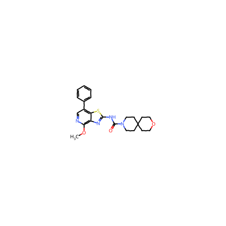 COc1ncc(-c2ccccc2)c2sc(NC(=O)N3CCC4(CCOCC4)CC3)nc12